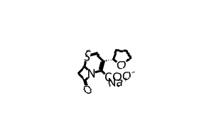 O=C([O-])C1=C([C@@H]2CCCO2)CSC2CC(=O)N12.[Na+]